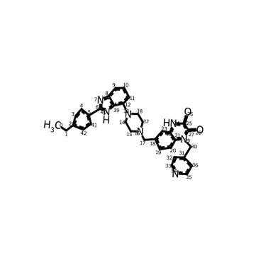 CCc1ccc(-c2nc3cccc(N4CCN(Cc5ccc6c(c5)[nH]c(=O)c(=O)n6Cc5ccncc5)CC4)c3[nH]2)cc1